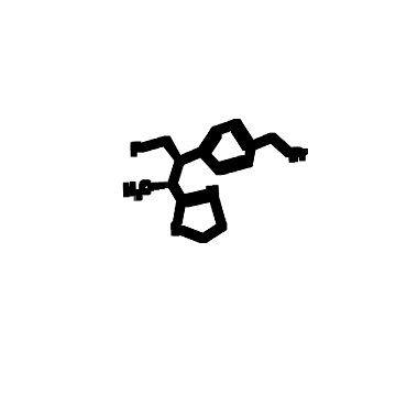 CC(C)Cc1ccc([C@H](CF)[C@@H](C)C2=NCCS2)cc1